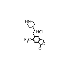 Cl.O=C1OCc2cc(CCN3CCNCC3)c(C(F)(F)F)cc21